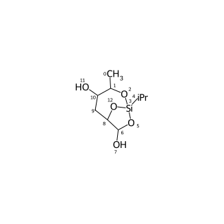 CC1O[Si]2(C(C)C)OC(O)C(CC1O)O2